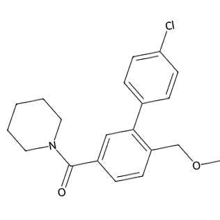 COCc1ccc(C(=O)N2CCCCC2)cc1-c1ccc(Cl)cc1